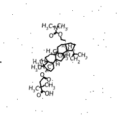 C=C(C)[C@@H]1CC[C@]2(CCOC(=O)N(C)C)CC[C@]3(C)[C@H](CC[C@@H]4[C@@]5(C)CC[C@H](OC(=O)CC(C)(C)C(=O)O)C(C)(C)[C@@H]5CC[C@]43C)[C@@H]12